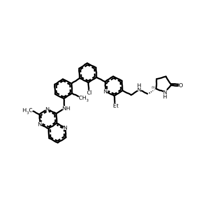 CCc1nc(-c2cccc(-c3cccc(Nc4nc(C)nc5cccnc45)c3C)c2Cl)ccc1CNC[C@@H]1CCC(=O)N1